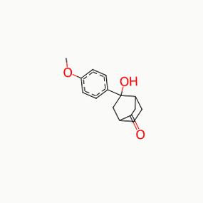 COc1ccc(C2(O)CC3CCC2CC3=O)cc1